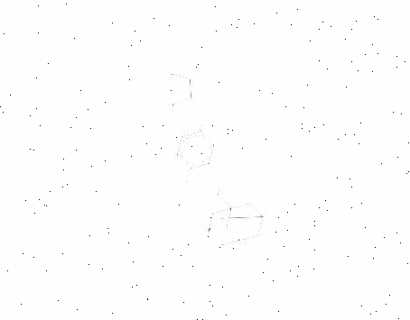 [O-][S+](c1cc(Cl)c(OCC23CC4CC(CC(C4)C2)C3)cc1F)C1CCCC1